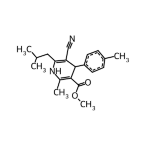 COC(=O)C1=C(C)NC(CC(C)C)=C(C#N)C1c1ccc(C)cc1